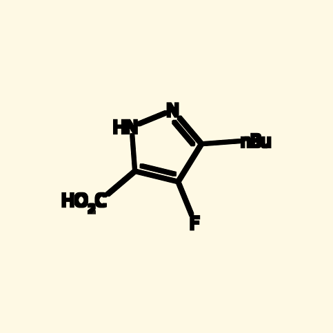 CCCCc1n[nH]c(C(=O)O)c1F